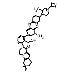 CC1CN(C2COC2)CCN1c1ccc(Nc2cc(-c3ccnc(N4CCn5c(cc6c5CC(F)(F)CC6)C4=O)c3CO)cn(C)c2=O)nc1